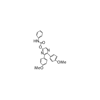 COc1ccc(-c2ncc(OC(=O)Nc3ccccc3)nc2-c2ccc(OC)cc2)cc1